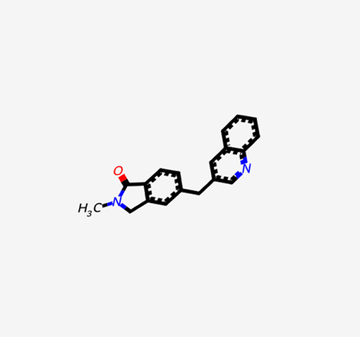 CN1Cc2cc(Cc3cnc4ccccc4c3)ccc2C1=O